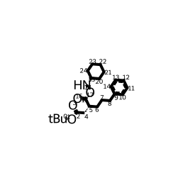 CC(C)(C)OC(=O)C[C@@H](CCCc1ccccc1)C(=O)ONC1CCCCC1